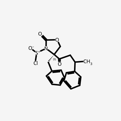 CC(CC(=O)[C@]1(Cc2ccccc2)COC(=O)N1[S+]([O-])Cl)c1ccccc1